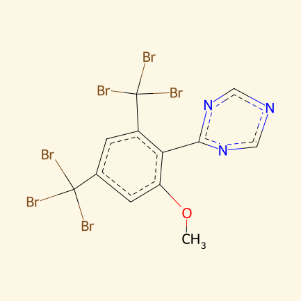 COc1cc(C(Br)(Br)Br)cc(C(Br)(Br)Br)c1-c1ncncn1